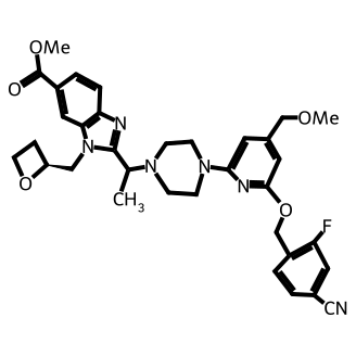 COCc1cc(OCc2ccc(C#N)cc2F)nc(N2CCN(C(C)c3nc4ccc(C(=O)OC)cc4n3C[C@@H]3CCO3)CC2)c1